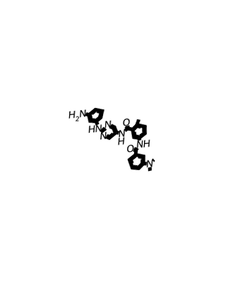 Cc1ccc(NC(=O)c2cccc(N(C)C)c2)cc1C(=O)Nc1cnc(Nc2cccc(N)c2)nc1